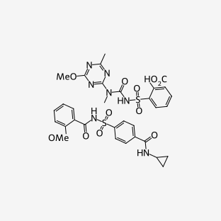 COc1ccccc1C(=O)NS(=O)(=O)c1ccc(C(=O)NC2CC2)cc1.COc1nc(C)nc(N(C)C(=O)NS(=O)(=O)c2ccccc2C(=O)O)n1